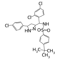 CC(C)(C)c1ccc(S(=O)(=O)NC(C2=NNC(c3ccc(Cl)cc3)C2)c2ccc(Cl)cc2Cl)cc1